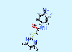 Cc1cc(C)nc(SCC(=O)Nc2ccc(N)cc2)n1